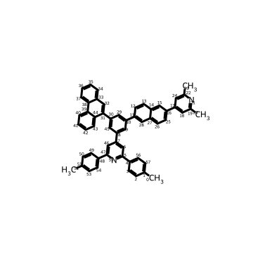 Cc1ccc(-c2cc(-c3cc(-c4ccc5cc(-c6cc(C)nc(C)c6)ccc5c4)cc(-c4cc5ccccc5c5ccccc45)c3)cc(-c3ccc(C)cc3)n2)cc1